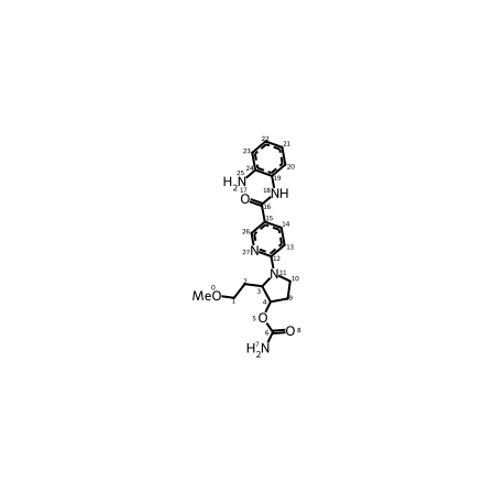 COCCC1C(OC(N)=O)CCN1c1ccc(C(=O)Nc2ccccc2N)cn1